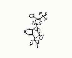 COC(=O)C(c1ccccc1Oc1nc(Cl)c(C(F)(F)F)s1)C(OC)OC